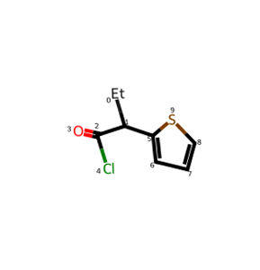 CCC(C(=O)Cl)c1cccs1